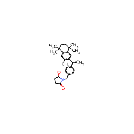 C=C(c1ccc(CN2C(=O)CCC2=O)cc1)c1cc2c(cc1C)C(C)(C)CCC2(C)C